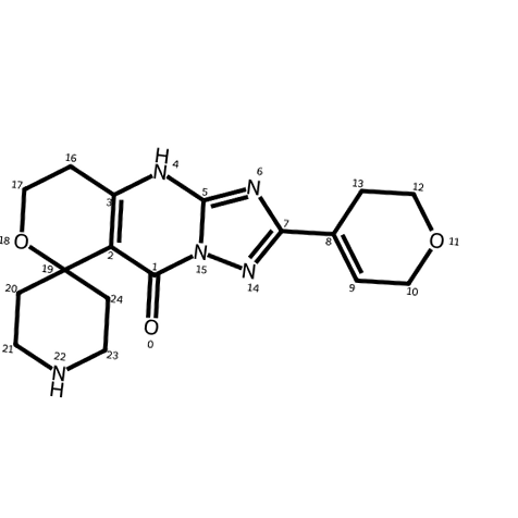 O=c1c2c([nH]c3nc(C4=CCOCC4)nn13)CCOC21CCNCC1